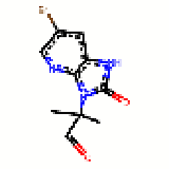 CC(C)(C=O)n1c(=O)[nH]c2cc(Br)cnc21